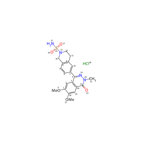 COc1cc2c(-c3ccc4c(c3)CCN(S(N)(=O)=O)C4)nn(C)c(=O)c2cc1OC.Cl